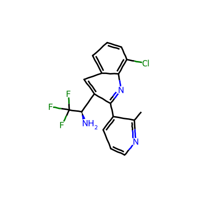 Cc1ncccc1-c1nc2c(Cl)cccc2cc1[C@@H](N)C(F)(F)F